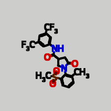 Cc1cccc(S(C)(=O)=O)c1N1CC(C(=O)Nc2cc(C(F)(F)F)cc(C(F)(F)F)c2)CC1=O